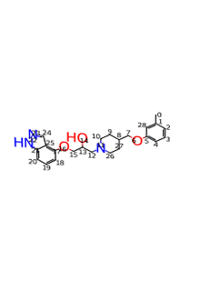 Cc1cccc(OCC2CCN(CC(O)COc3cccc4[nH]ncc34)CC2)c1